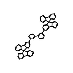 c1cc(-c2cccc(-c3ccc4c(c3)-c3ccccc3C43c4ccccc4-c4ccccc43)c2)cc(-c2ccc3c(c2)-c2ccccc2C32c3ccccc3-c3ccccc32)c1